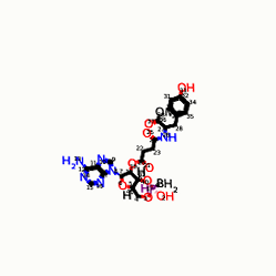 B[PH]1(O)OC[C@H]2O[C@@H](n3cnc4c(N)ncnc43)C(OC(=O)CCC(=O)NC(Cc3ccc(O)cc3)C(=O)OC)[C@H]2O1